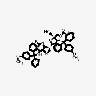 C#C[C@]1(COC(=O)CC)O[C@@H](n2cnc3c(NC(c4ccccc4)(c4ccccc4)c4ccc(OC)cc4)nc(F)nc32)C[C@@H]1OC(c1ccccc1)(c1ccccc1)c1ccc(OC)cc1